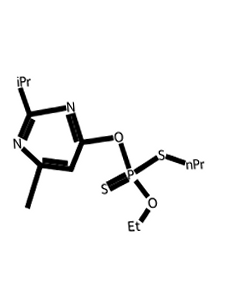 CCCSP(=S)(OCC)Oc1cc(C)nc(C(C)C)n1